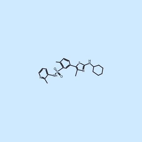 Cc1ccc(-c2sc(NC3CCCCC3)nc2C)cc1S(=O)(=O)Nc1cccnc1C